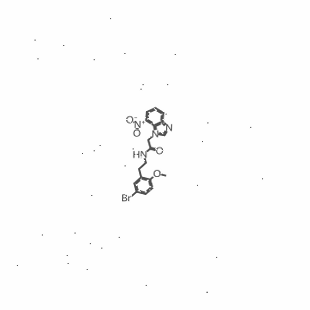 COc1ccc(Br)cc1CCNC(=O)Cn1cnc2cccc([N+](=O)[O-])c21